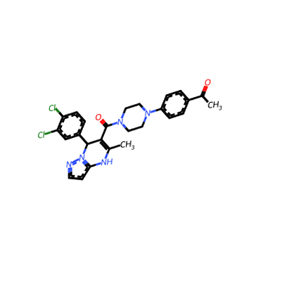 CC(=O)c1ccc(N2CCN(C(=O)C3=C(C)Nc4ccnn4C3c3ccc(Cl)c(Cl)c3)CC2)cc1